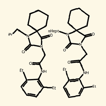 CCCCCCCN1C(=O)N(CC(=O)Nc2c(CC)cccc2CC)C(=O)C12CCCCC2.CCc1cccc(CC)c1NC(=O)CN1C(=O)N(CC(C)C)C2(CCCCC2)C1=O